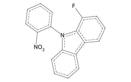 O=[N+]([O-])c1ccccc1-n1c2ccccc2c2cccc(F)c21